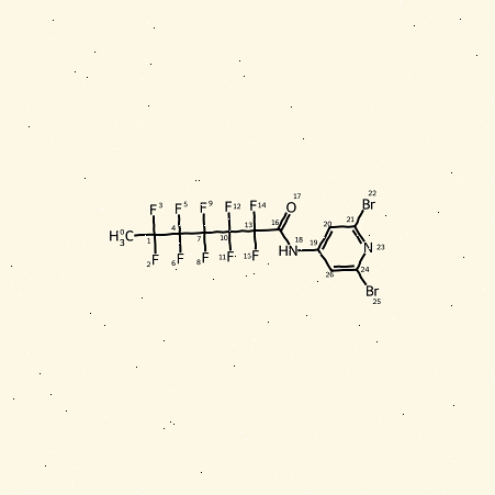 CC(F)(F)C(F)(F)C(F)(F)C(F)(F)C(F)(F)C(=O)Nc1cc(Br)nc(Br)c1